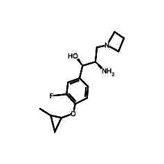 CC1CC1Oc1ccc([C@@H](O)[C@H](N)CN2CCC2)cc1F